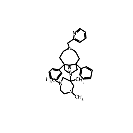 CN1CCN(C)CC(C)(N2CC3(c4ccccc4)CCN(Cc4ccccn4)CCC(c4ccccc4)(C2)C3=O)C1